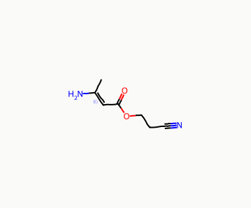 C/C(N)=C\C(=O)OCCC#N